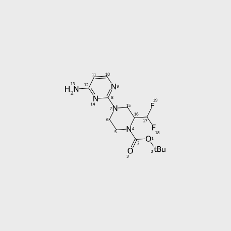 CC(C)(C)OC(=O)N1CCN(c2nccc(N)n2)CC1C(F)F